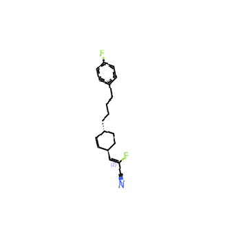 N#C/C(F)=C/[C@H]1CC[C@H](CCCCc2ccc(F)cc2)CC1